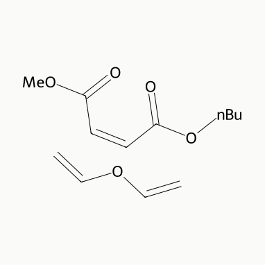 C=COC=C.CCCCOC(=O)/C=C\C(=O)OC